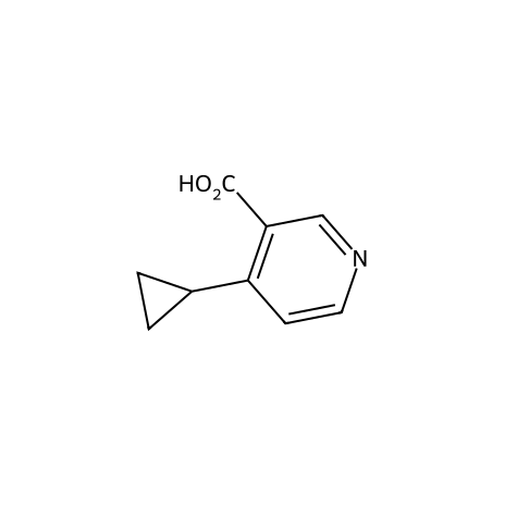 O=C(O)c1cnccc1C1CC1